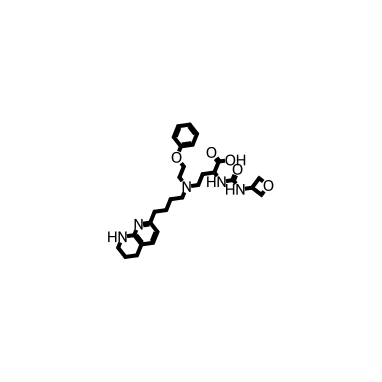 O=C(NC1COC1)NC(CCN(CCCCc1ccc2c(n1)NCCC2)CCOc1ccccc1)C(=O)O